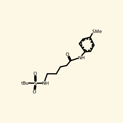 CSc1ccc(NC(=O)CCCCNS(=O)(=O)C(C)(C)C)cc1